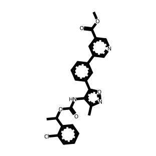 COC(=O)c1cncc(-c2cccc(-c3onc(C)c3NC(=O)OC(C)c3ccccc3Cl)c2)c1